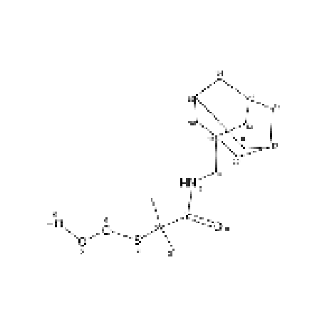 CC(C)(SOOO)C(=O)NCC12CC3CC(CC(C3)C1)C2